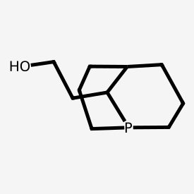 OCCC1C2CCCP1CCC2